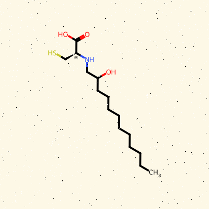 CCCCCCCCCCC(O)CN[C@@H](CS)C(=O)O